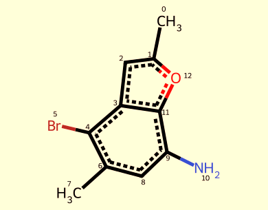 Cc1cc2c(Br)c(C)cc(N)c2o1